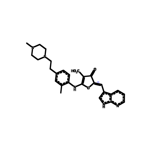 Cc1cc(CCN2CCN(C)CC2)ccc1NC1=C(C(=O)O)C(=O)/C(=C/c2c[nH]c3ncccc23)O1